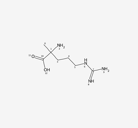 CC(N)(CCCNC(=N)N)C(=O)O